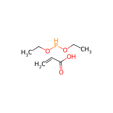 C=CC(=O)O.CCOPOCC